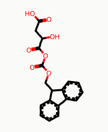 O=C(O)CC(O)C(=O)OC(=O)OCC1c2ccccc2-c2ccccc21